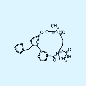 C[C@H]1COc2ccc(Cc3ccccc3)c(c2)-c2cccc(c2)C(=O)N(C)[C@H](C(=O)O)CCC(=O)N1